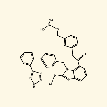 CCOc1nc2cccc(C(=O)Oc3cccc(CON(O)O)c3)c2n1Cc1ccc(-c2ccccc2-c2nn[nH]n2)cc1